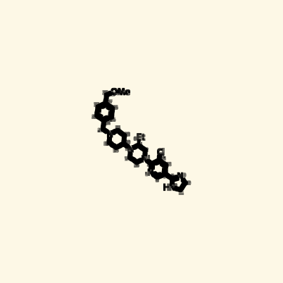 CC[C@H]1CN(c2ncc(C3=NCCN3)cc2Cl)CCN1C1CCN(Cc2ccc(COC)cc2)CC1